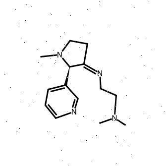 CN(C)CC/N=C1/CCN(C)[C@@H]1c1cccnc1